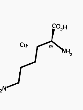 NCCCC[C@H](N)C(=O)O.[Cu]